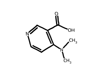 CN(C)c1ccncc1C(=O)O